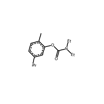 CCN(CC)C(=O)Oc1cc(C(C)C)ccc1C